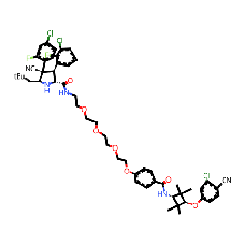 CC(C)(C)C[C@@H]1N[C@@H](C(=O)NCCOCCOCCOCCOc2ccc(C(=O)N[C@H]3C(C)(C)[C@H](Oc4ccc(C#N)c(Cl)c4)C3(C)C)cc2)[C@H](c2cccc(Cl)c2F)[C@@]1(C#N)c1ccc(Cl)cc1F